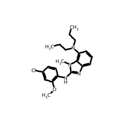 CCCN(CCC)c1cccc2nc(Nc3ccc(Cl)cc3OC)n(C)c12